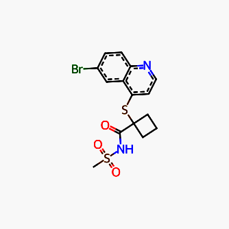 CS(=O)(=O)NC(=O)C1(Sc2ccnc3ccc(Br)cc23)CCC1